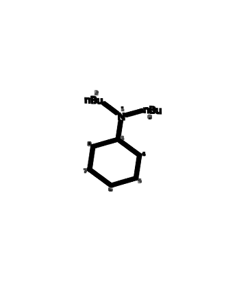 CCCCN(CCCC)C1CCCCC1